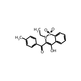 CCN1C(C(=O)c2ccc(C)cc2)=C(O)c2ccccc2S1(=O)=O